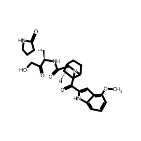 COc1cccc2[nH]c(C(=O)N3C4CCC(CC4)[C@@H]3C(=O)N[C@H](C[C@@H]3CCNC3=O)C(=O)CO)cc12